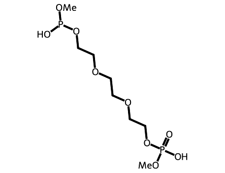 COP(O)OCCOCCOCCOP(=O)(O)OC